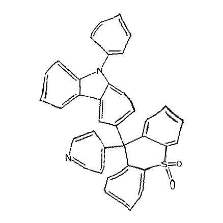 O=S1(=O)c2ccccc2C(c2ccncc2)(c2ccc3c(c2)c2ccccc2n3-c2ccccc2)c2ccccc21